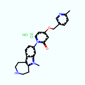 Cc1ccc(COc2ccn(-c3ccc4c5c(n(C)c4c3)CCNCC5)c(=O)c2)cn1.Cl.Cl